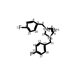 Br.Fc1ccc(CN2C=CN(Cc3ccc(F)cc3)C2)cc1